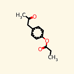 CCC(=O)Oc1ccc(CC(C)=O)cc1